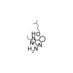 CCc1nc2c(N)nc3cccc(OCCCC(C)C)c3c2[nH]1